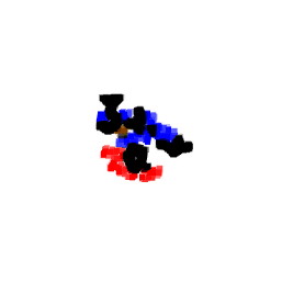 Cc1nc(NCC2CC(C)C2)nc(N[C@@H]2C[C@H](CO)[C@@H](O)[C@H]2O)c1-c1nc2c(C3CC3)nccc2s1